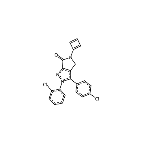 O=C1c2nn(-c3ccccc3Cl)c(-c3ccc(Cl)cc3)c2CN1C1=CC=C1